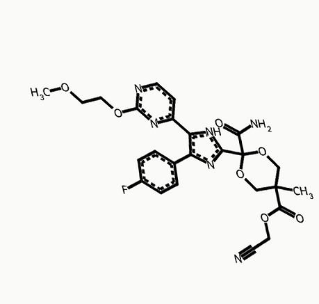 COCCOc1nccc(-c2[nH]c(C3(C(N)=O)OCC(C)(C(=O)OCC#N)CO3)nc2-c2ccc(F)cc2)n1